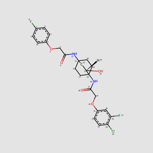 O=C(COc1ccc(F)cc1)NC12CCC(NC(=O)COc3ccc(Cl)c(F)c3)(CC1)[C@@H](O)C2